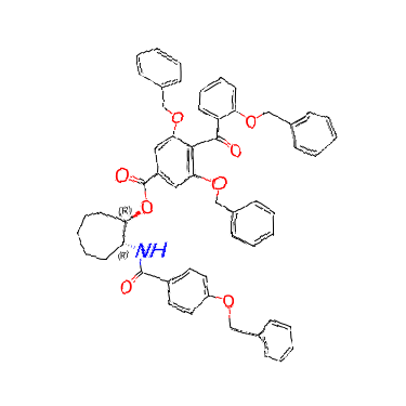 O=C(N[C@@H]1CCCCC[C@H]1OC(=O)c1cc(OCc2ccccc2)c(C(=O)c2ccccc2OCc2ccccc2)c(OCc2ccccc2)c1)c1ccc(OCc2ccccc2)cc1